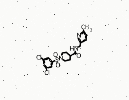 Cc1ccc(CNC(=O)C2CCN(S(=O)(=O)c3cc(Cl)cc(Cl)c3)CC2)cn1